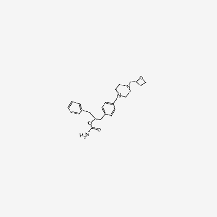 NC(=O)OC(Cc1ccccc1)Cc1ccc(N2CCN(CC3CCO3)CC2)cc1